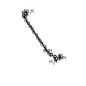 C=C(C1=Cc2ccc(-c3ccc(OCCNC(=O)CCOCCOCCOCCOCCOCCOCCOCCOCCOCCOCCC(=O)Oc4c(F)c(F)c(S(=O)(=O)O)c(F)c4F)cc3)cc2N=C(N)C1)N(CCC)OCC